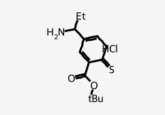 CCC(N)C1=CCC(=S)C(C(=O)OC(C)(C)C)=C1.Cl